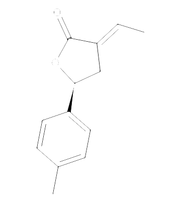 C/C=C1/C(=O)O[C@H](c2ccc(C)cc2)[C@H]1C